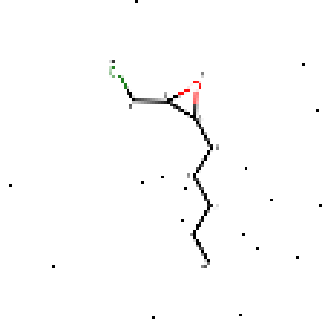 CCCCCC1OC1CCl